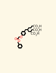 O=C(O)CCCC(Cc1ccc(OCC(=O)OCc2ccccc2)cc1)CC(CC(=O)O)C(=O)O